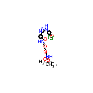 CC(C)(C)OC(=O)NCCOCCOCCNC(=O)c1cccc(-c2cc(Nc3ccc(OC(F)(F)F)cc3)ncn2)c1